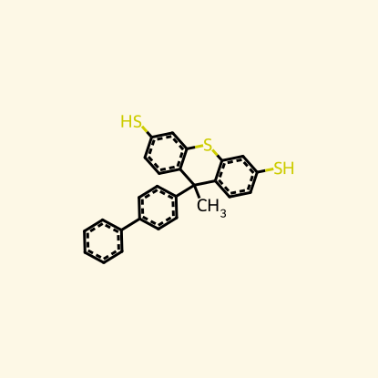 CC1(c2ccc(-c3ccccc3)cc2)c2ccc(S)cc2Sc2cc(S)ccc21